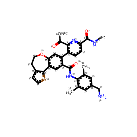 COC(=O)c1nc(C(=O)NC(C)C)ccc1-c1cc2c(cc1C(=O)Nc1c(C)cc(CN)cc1C)-c1sccc1CCO2